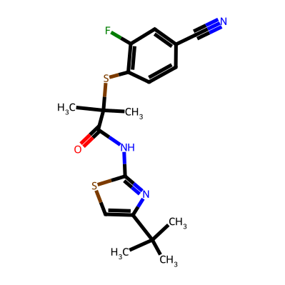 CC(C)(Sc1ccc(C#N)cc1F)C(=O)Nc1nc(C(C)(C)C)cs1